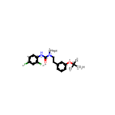 CCCCCCCN(CCc1cccc(OC(CC)(CC)C(=O)O)c1)C(=O)Nc1ccc(F)cc1F